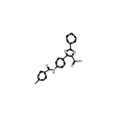 Cc1ccc(C(=O)Nc2ccc(-c3oc(-c4ccccc4)nc3C(=O)O)cc2)cc1